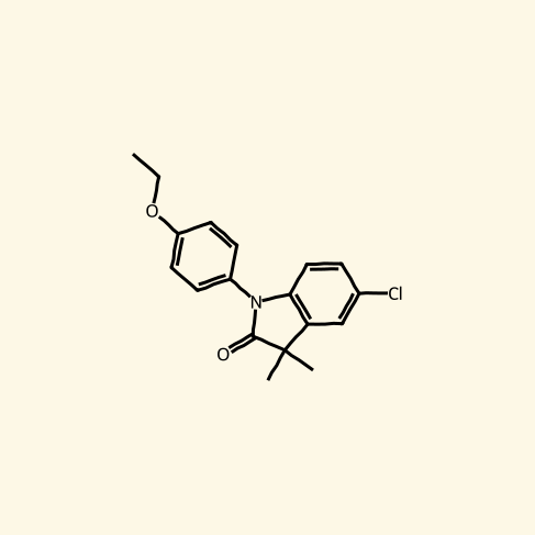 CCOc1ccc(N2C(=O)C(C)(C)c3cc(Cl)ccc32)cc1